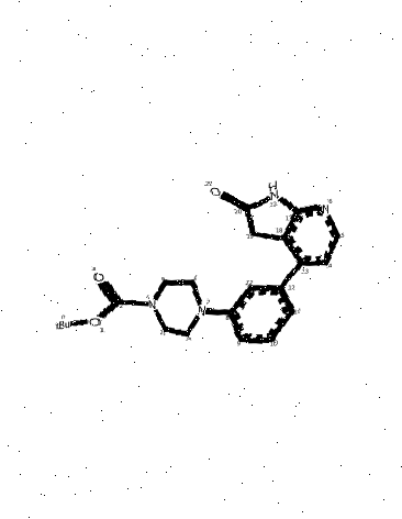 CC(C)(C)OC(=O)N1CCN(c2cccc(-c3ccnc4c3CC(=O)N4)c2)CC1